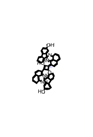 O=C1C(c2ccc3cccc4c3c2NC2(N4)c3ccccc3-c3ccc(O)cc32)=C(O)/C1=c1/ccc2cccc3c2c1NC1(N=3)c2ccccc2-c2ccc(O)cc21